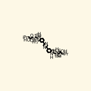 CC(C)CC(C)(O)C(=O)NC(c1nc2cc(-c3cnc(-c4ccc5[nH]c([C@@H](NC(=O)C(C)(O)CC(C)C)C(C)(C)C)nc5c4)cn3)ccc2[nH]1)C(C)(C)C